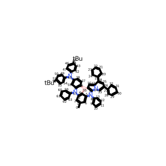 Cc1cc2c3c(c1)N(c1ccccc1)c1c(cc4c(-c5ccccc5)cc(-c5ccccc5)cn14)B3c1ccc(N(c3ccc(C(C)(C)C)cc3)c3ccc(C(C)(C)C)cc3)cc1N2c1ccccc1